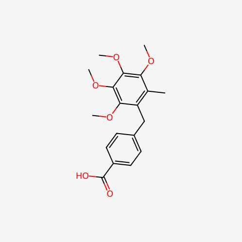 COc1c(C)c(Cc2ccc(C(=O)O)cc2)c(OC)c(OC)c1OC